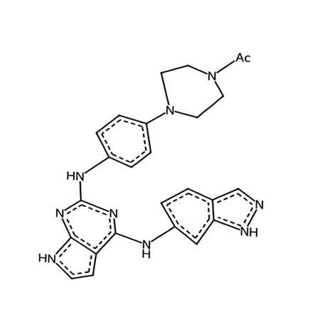 CC(=O)N1CCN(c2ccc(Nc3nc(Nc4ccc5cn[nH]c5c4)c4cc[nH]c4n3)cc2)CC1